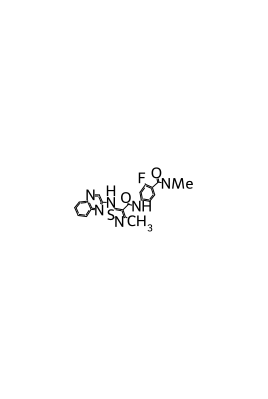 CNC(=O)c1ccc(NC(=O)c2c(C)nsc2Nc2cnc3ccccc3n2)cc1F